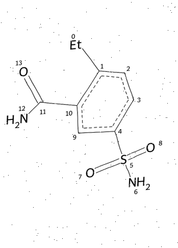 [CH2]Cc1ccc(S(N)(=O)=O)cc1C(N)=O